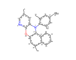 Cc1cnc2c(c1)N(c1c(C)cc(C(C)(C)C)cc1C)c1c(cc(C)c3ccccc13)O2